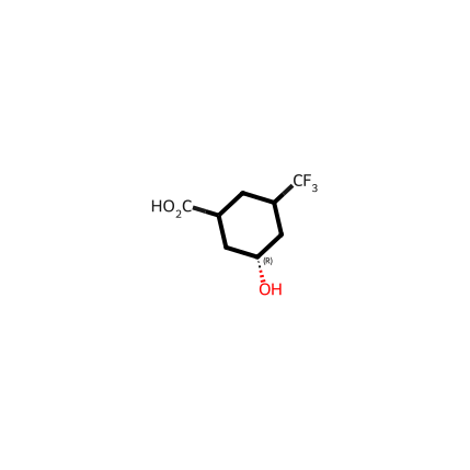 O=C(O)C1CC(C(F)(F)F)C[C@H](O)C1